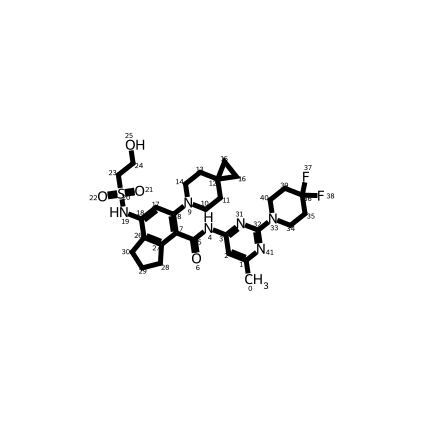 Cc1cc(NC(=O)c2c(N3CCC4(CC3)CC4)cc(NS(=O)(=O)CCO)c3c2CCC3)nc(N2CCC(F)(F)CC2)n1